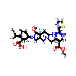 CCOC(=O)C1=C(CN2CCC3(F)C(=O)N(c4ccc(C(C)C)c(C(=O)O)c4)CC3C2)NC(c2nccs2)=NC1